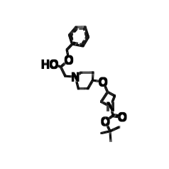 CC(C)(C)OC(=O)N1CC(OC2CCN(CC(O)OCc3ccccc3)CC2)C1